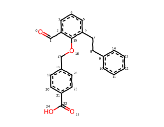 O=Cc1cccc(CCc2ccccc2)c1OCc1ccc(C(=O)O)cc1